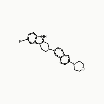 Fc1ccc2[nH]c3c(c2c1)CCN(c1ccc2cc(N4CCOCC4)ccc2c1)C3